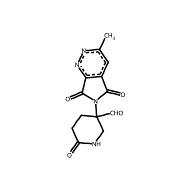 Cc1cc2c(nn1)C(=O)N(C1(C=O)CCC(=O)NC1)C2=O